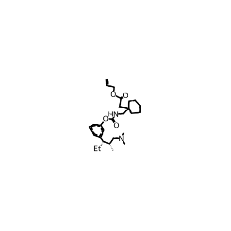 C=CCOC(=O)CC1(CNC(=O)Oc2cccc([C@@H](CC)[C@@H](C)CN(C)C)c2)CCCCC1